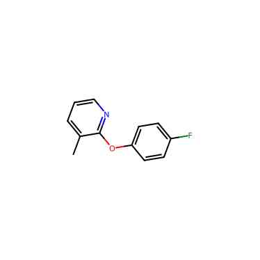 Cc1cccnc1Oc1ccc(F)cc1